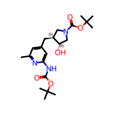 Cc1cc(C[C@H]2CN(C(=O)OC(C)(C)C)C[C@@H]2O)cc(NC(=O)OC(C)(C)C)n1